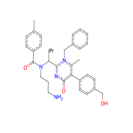 Cc1ccc(C(=O)N(CCCN)C(c2nc(=O)c(-c3ccc(CO)cc3)c(C)n2Cc2ccccc2)C(C)C)cc1